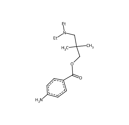 CCN(CC)CC(C)(C)COC(=O)c1ccc(N)cc1